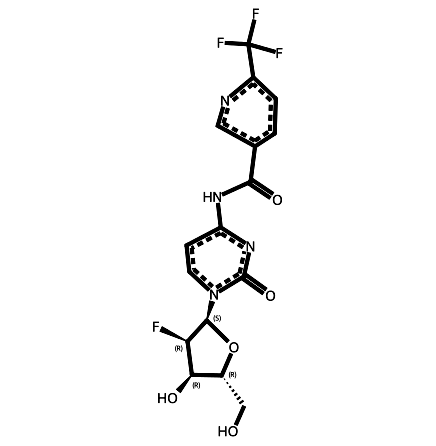 O=C(Nc1ccn([C@H]2O[C@H](CO)[C@@H](O)[C@H]2F)c(=O)n1)c1ccc(C(F)(F)F)nc1